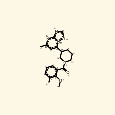 COc1c(F)cccc1C(=O)N1CCCC(c2cc(C)nc3ncnn23)C1